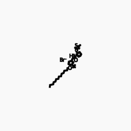 CCCCCCCCCCCCCCOc1ccc(CC(=O)Nc2ccccc2C[n+]2csc(C)c2)cc1C(C)(C)C.[Br-]